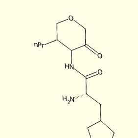 CCCC1COCC(=O)C1NC(=O)[C@@H](N)CC1CCCC1